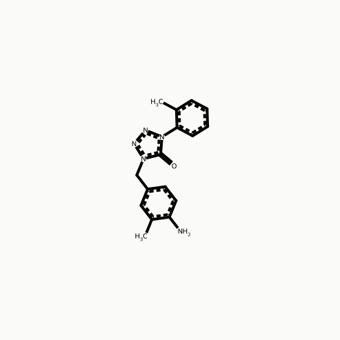 Cc1cc(Cn2nnn(-c3ccccc3C)c2=O)ccc1N